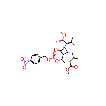 C=C(CC(=O)OC)C[C@@H]1[C@@H](C(C)OC(=O)OCc2ccc([N+](=O)[O-])cc2)C(=O)N1C(C(=O)OC)=C(C)C